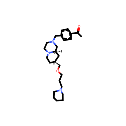 CC(=O)c1ccc(CN2CCN3CC[C@H](COCCCN4CCCCC4)C[C@@H]3C2)cc1